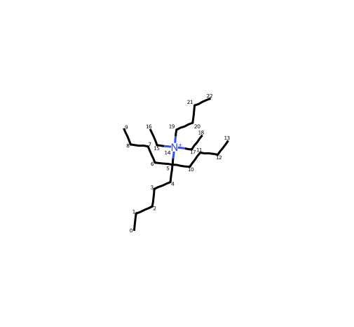 CCCCCC(CCCC)(CCCC)[N+](CC)(CC)CCCC